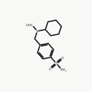 NS(=O)(=O)c1ccc(CN([C]=O)C2CCCCC2)cc1